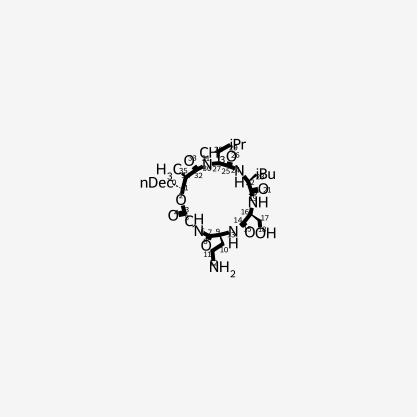 CCCCCCCCCC[C@H]1OC(=O)CNC(=O)[C@H](CCN)NC(=O)[C@H](CO)NC(=O)[C@H](C(C)CC)NC(=O)[C@H](CC(C)C)N(C)C(=O)[C@@H]1C